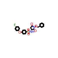 O=C1C[C@@H](NS(=O)(=O)c2ccc(Oc3ccc(F)cc3)cc2)C(=O)N1OCc1ccccc1